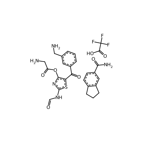 NC(=O)c1ccc2c(c1)CCC2.NCC(=O)Oc1nc(NC=O)sc1C(=O)c1cccc(CN)c1.O=C(O)C(F)(F)F